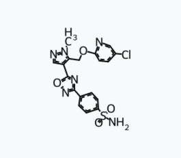 Cn1ncc(-c2nc(-c3ccc(S(N)(=O)=O)cc3)no2)c1COc1ccc(Cl)cn1